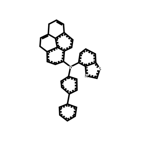 C1=Cc2ccc3c(N(c4ccc(-c5ccccc5)cc4)c4cccc5scnc45)ccc4c3c2C(=CC4)C1